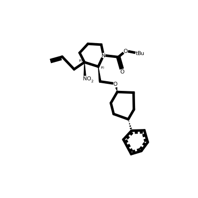 C=CC[C@]1([N+](=O)[O-])CCCN(C(=O)OC(C)(C)C)[C@H]1CO[C@H]1CC[C@@H](c2ccccc2)CC1